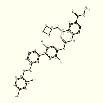 COC(=O)c1ccc(NC(=O)Cc2cc(F)c(-c3cccc(OCc4ncc(Cl)cc4F)n3)cc2F)c(NC[C@@H]2CCO2)n1